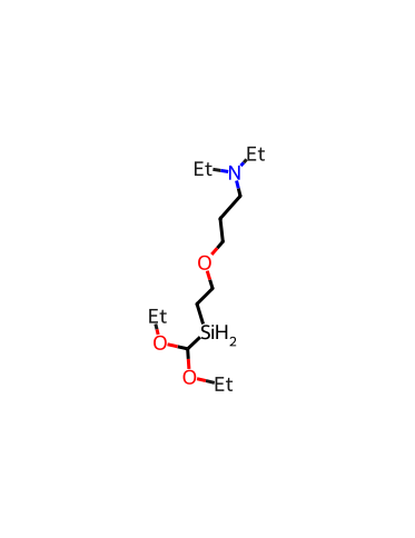 CCOC(OCC)[SiH2]CCOCCCN(CC)CC